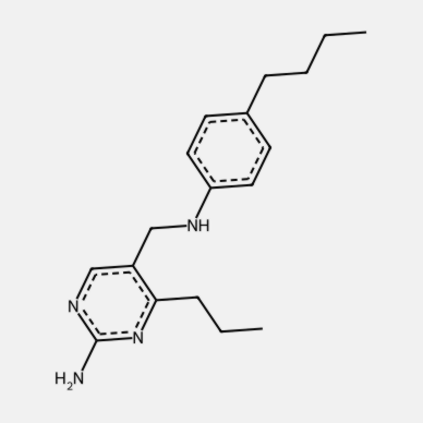 CCCCc1ccc(NCc2cnc(N)nc2CCC)cc1